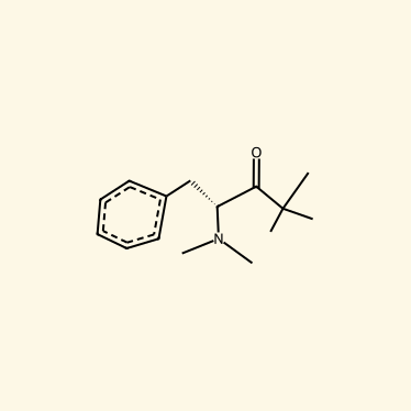 CN(C)[C@H](Cc1ccccc1)C(=O)C(C)(C)C